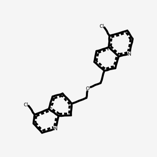 Clc1ccnc2cc(COCc3ccc4c(Cl)ccnc4c3)ccc12